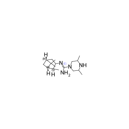 CC1CN(/C(N)=N/C2C[C@H]3C[C@@H]([C@@H]2C)C3(C)C)CC(C)N1